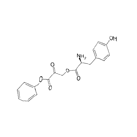 N[C@@H](Cc1ccc(O)cc1)C(=O)OCC(=O)C(=O)Oc1ccccc1